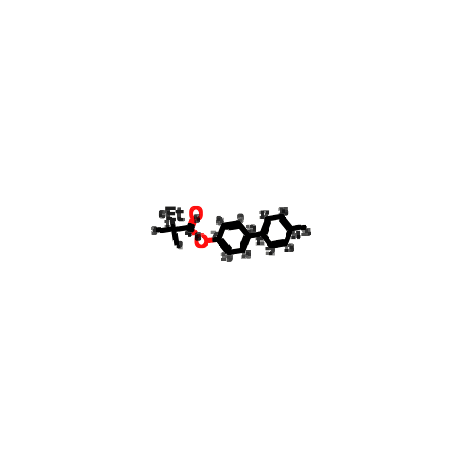 CCC(C)(C)C(=O)Oc1ccc(-c2ccc(C)cc2)cc1